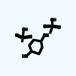 CS(=O)(=O)O.CS(=O)(=O)O.OC1CCC(O)CC1